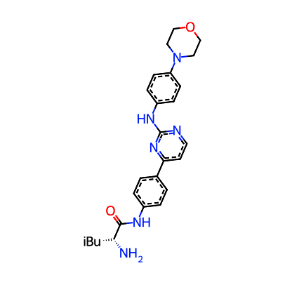 CC[C@@H](C)[C@@H](N)C(=O)Nc1ccc(-c2ccnc(Nc3ccc(N4CCOCC4)cc3)n2)cc1